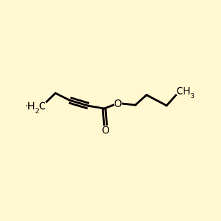 [CH2]CC#CC(=O)OCCCC